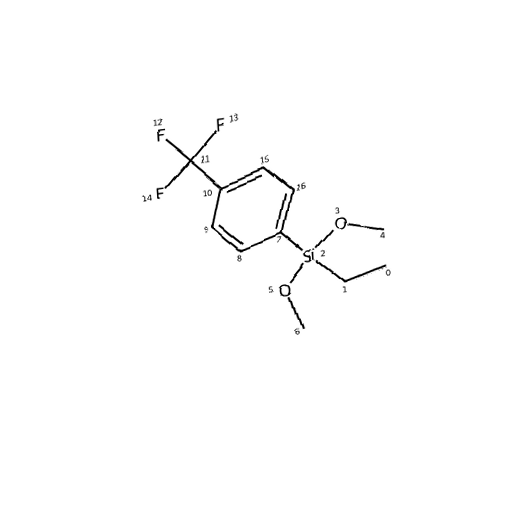 CC[Si](OC)(OC)c1ccc(C(F)(F)F)cc1